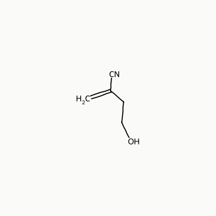 C=C(C#N)CCO